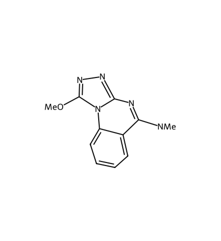 CNc1nc2nnc(OC)n2c2ccccc12